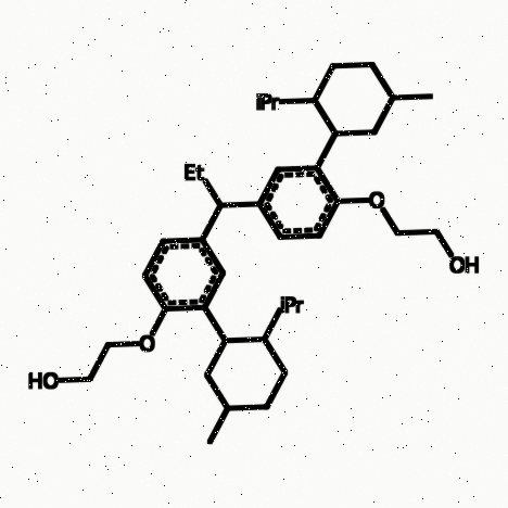 CCC(c1ccc(OCCO)c(C2CC(C)CCC2C(C)C)c1)c1ccc(OCCO)c(C2CC(C)CCC2C(C)C)c1